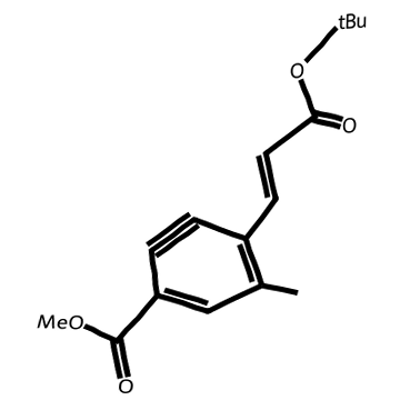 COC(=O)c1c#cc(/C=C/C(=O)OC(C)(C)C)c(C)c1